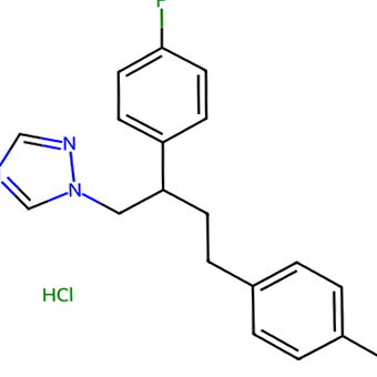 Cc1ccc(CCC(Cn2cncn2)c2ccc(F)cc2)cc1.Cl